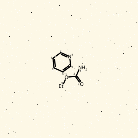 CCOC(N)=O.c1ccncc1